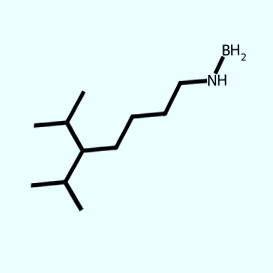 BNCCCCC(C(C)C)C(C)C